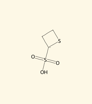 O=S(=O)(O)[C]1CCS1